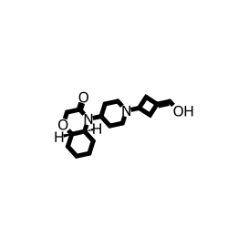 O=C1CO[C@H]2CCCC[C@@H]2N1C1CCN(C2CC(=CO)C2)CC1